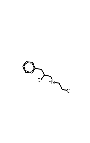 ClCCNCC(Cl)Cc1ccccc1